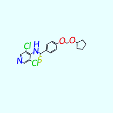 S=C(Nc1c(Cl)cncc1Cl)c1ccc(OCOC2CCCC2)cc1